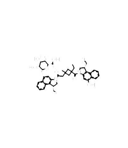 CCC1(C(=O)N2C[C@@H](CCl)c3c2cc(O)c2ccccc32)CC(C)(CC(=O)N2C[C@@H](CCl)c3c2cc(O[C@@H]2O[C@H](C(=O)O)[C@@H](O)[C@H](O)[C@H]2O)c2ccccc32)C1